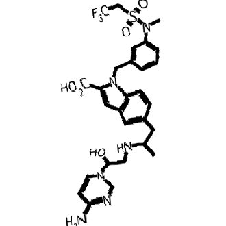 CC(Cc1ccc2c(c1)cc(C(=O)O)n2Cc1cccc(N(C)S(=O)(=O)CC(F)(F)F)c1)NCC(O)N1C=CC(N)=NC1